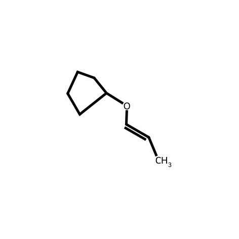 CC=COC1CCCC1